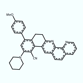 COc1ccc(-c2cc(N3CCCCC3)c(C#N)c3c2CCc2nc4c(ccc5cccnc54)cc2-3)cc1